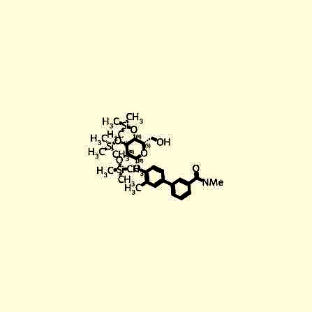 CNC(=O)c1cccc(-c2ccc(O[C@H]3O[C@@H](CO)[C@@H](O[Si](C)(C)C)[C@H](O[Si](C)(C)C)[C@H]3O[Si](C)(C)C)c(C)c2)c1